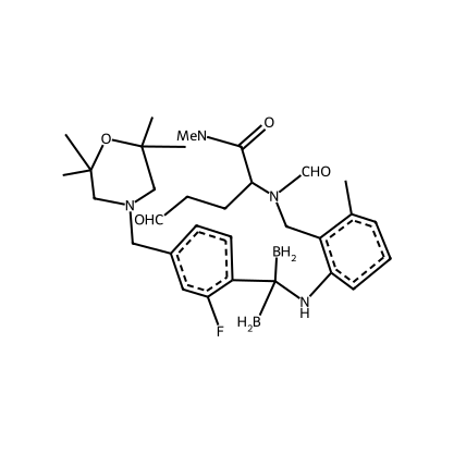 BC(B)(Nc1cccc(C)c1CN(C=O)C(CCC=O)C(=O)NC)c1ccc(CN2CC(C)(C)OC(C)(C)C2)cc1F